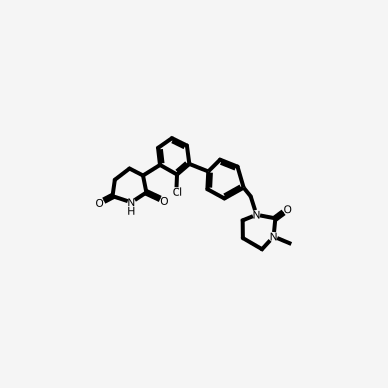 CN1CCCN(Cc2ccc(-c3cccc(C4CCC(=O)NC4=O)c3Cl)cc2)C1=O